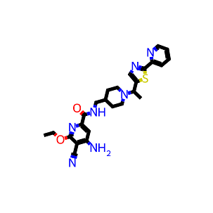 CCOc1nc(C(=O)NCC2CCN(C(C)c3cnc(-c4ccccn4)s3)CC2)cc(N)c1C#N